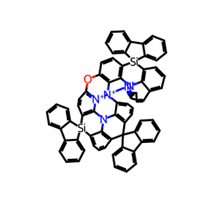 c1ccc2c(c1)-c1ccccc1C21c2cccc3c2N2c4c1cccc4[Si]1(c4ccccc4-c4ccccc41)c1ccc4[n+](c12)[N+]31c2c(ccc3c2-n2c5c(cccc5c5ccc[n+]1c52)[Si]31c2ccccc2-c2ccccc21)O4